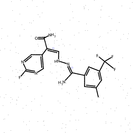 Cc1cc(/C(N)=N/N/C=C(/C(N)=O)c2cnc(F)nc2)cc(C(F)(F)F)c1